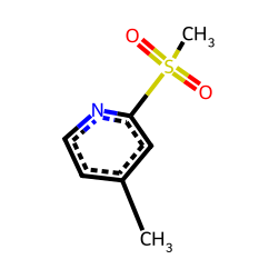 Cc1ccnc(S(C)(=O)=O)c1